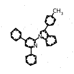 Cc1ccc(-c2cn(-c3cc(-c4ccccc4)cc(-c4ccccc4)n3)c3ccccc23)cc1